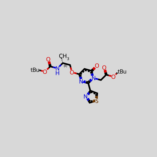 C[C@H](COc1cc(=O)n(CC(=O)OC(C)(C)C)c(-c2cscn2)n1)NC(=O)OC(C)(C)C